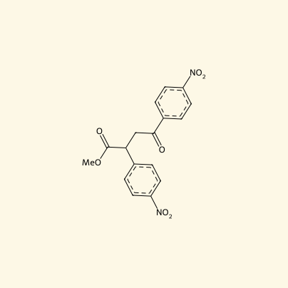 COC(=O)C(CC(=O)c1ccc([N+](=O)[O-])cc1)c1ccc([N+](=O)[O-])cc1